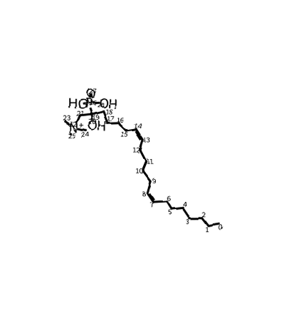 CCCCCCC/C=C\CCCC/C=C\CCCCC(O)(C[N+](C)(C)C)P(=O)(O)O